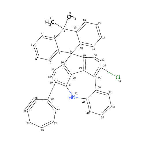 CC1(C)c2ccccc2C2(c3ccccc31)c1ccc(C3=CC=CCC#C3)c3c1-c1c2ccc(Cl)c1-c1ccccc1N3